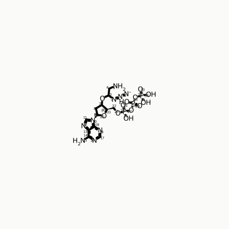 [N-]=[N+]=NC(CN)OC1C[C@H](n2cnc3c(N)ncnc32)O[C@@H]1COP(=O)(O)OP(=O)(O)OP(=O)(O)O